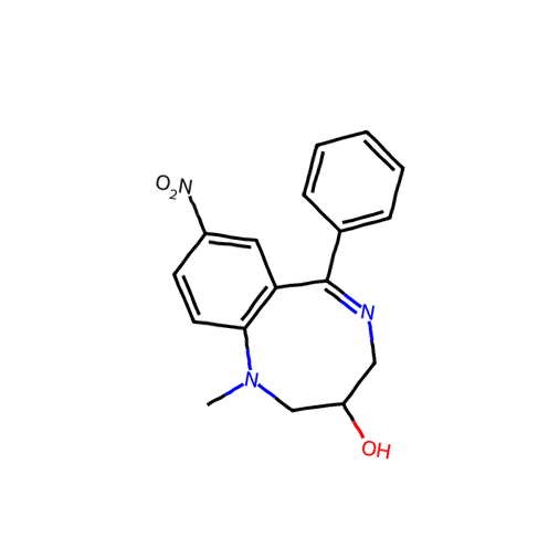 CN1CC(O)CN=C(c2ccccc2)c2cc([N+](=O)[O-])ccc21